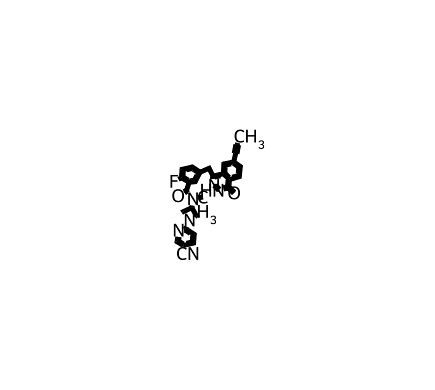 CC#Cc1ccc2c(=O)[nH]nc(Cc3ccc(F)c(C(=O)N(C)C4CN(c5ccc(C#N)cn5)C4)c3)c2c1